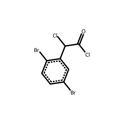 O=C(Cl)C(Cl)c1cc(Br)ccc1Br